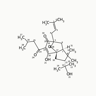 CC(C)=CCC12C[C@H]3C(C)(C)[C@H](C(C)(C)O)C[C@]3(C1=O)C(O)=C(C(=O)CC(C)C)C2=O